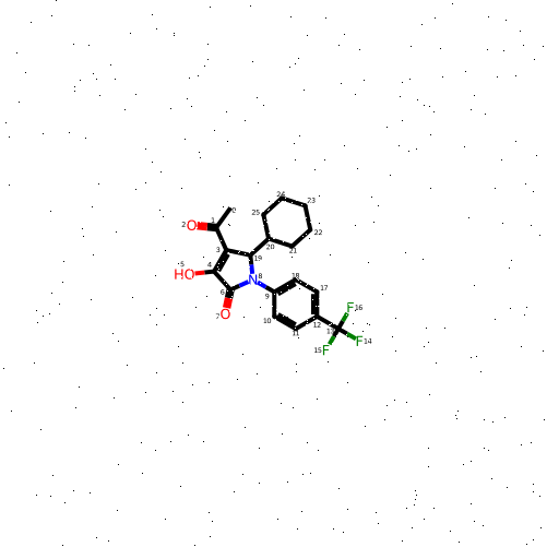 CC(=O)C1=C(O)C(=O)N(c2ccc(C(F)(F)F)cc2)C1C1CCCCC1